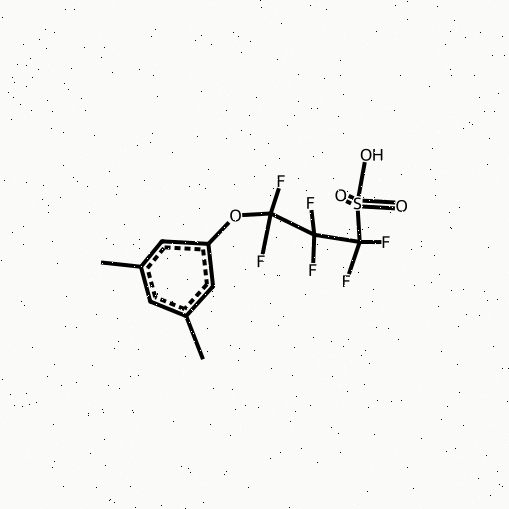 Cc1cc(C)cc(OC(F)(F)C(F)(F)C(F)(F)S(=O)(=O)O)c1